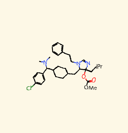 COC(=O)OC1(CC(C)C)N=CN(CCc2ccccc2)C1CC1CCC(C(c2ccc(Cl)cc2)N(C)C)CC1